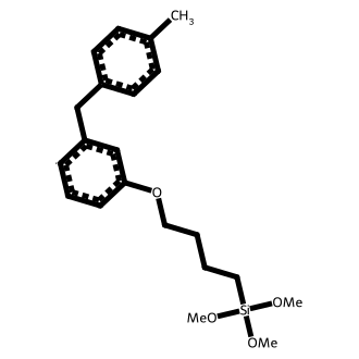 CO[Si](CCCCOc1cc[c]c(Cc2ccc(C)cc2)c1)(OC)OC